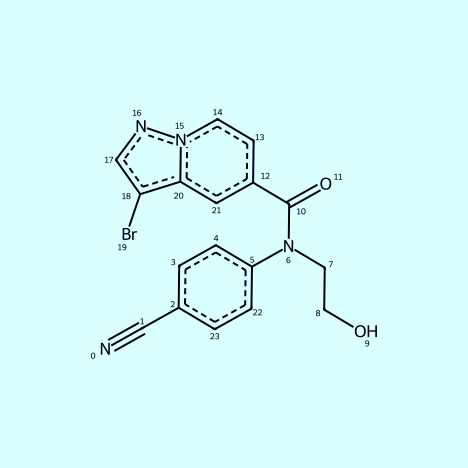 N#Cc1ccc(N(CCO)C(=O)c2ccn3ncc(Br)c3c2)cc1